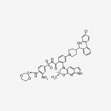 C[C@H]1CN(c2cc(N3CCC(C(O)c4ccccc4-c4ccc(Cl)cc4)CC3)ccc2C(=O)NS(=O)(=O)c2ccc(NC[C@@H]3COCCO3)c([N+](=O)[O-])c2)c2cc3cc[nH]c3nc2O1